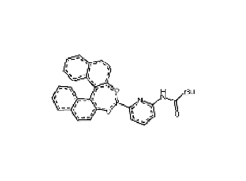 CC(C)(C)C(=O)Nc1cccc(-p2oc3ccc4ccccc4c3c3c(ccc4ccccc43)o2)n1